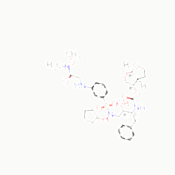 CON(C)C(=O)CNc1cccc(S(=O)(=O)N(C[C@@H](O)[C@H](Cc2ccccc2)NC(=O)O[C@H]2CO[C@H]3OCC[C@H]32)OC2CCCC2)c1